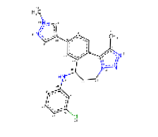 Cc1nnn2c1-c1ccc(-c3cnn(C)c3)cc1C(Nc1cccc(Cl)c1)CC2